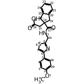 COc1ccc(-c2csc(CNC(=O)C3(CC(=O)O)Cc4ccccc4C3)n2)cc1